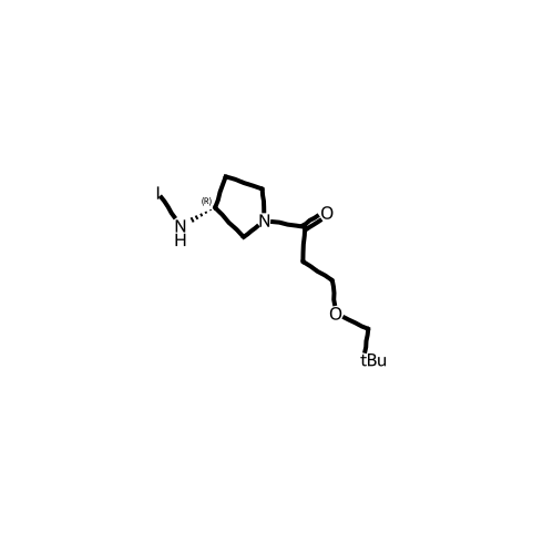 CC(C)(C)COCCC(=O)N1CC[C@@H](NI)C1